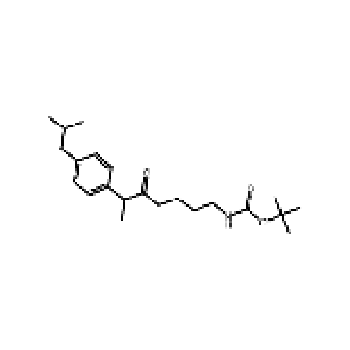 CC(C)Cc1ccc(C(C)C(=O)CCCCNC(=O)OC(C)(C)C)cc1